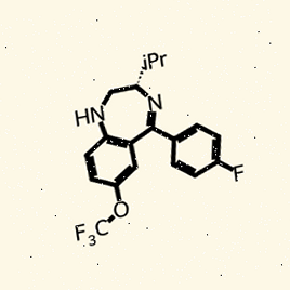 CC(C)[C@H]1CNc2ccc(OC(F)(F)F)cc2C(c2ccc(F)cc2)=N1